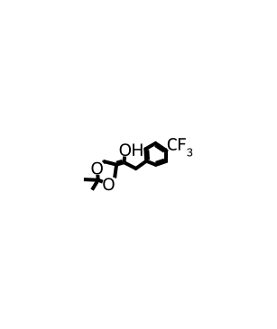 CC1(C)OCC(=C(O)Cc2ccc(C(F)(F)F)cc2)CO1